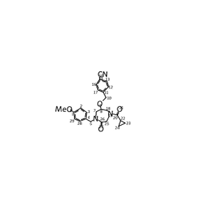 COc1ccc(CN2CC(OCc3ccc(C#N)cc3)CN(C(=O)C3CC3)CC2=O)cc1